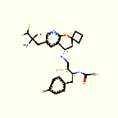 CC(=O)N[C@@H](Cc1ccc(Cl)cc1)[C@H](O)CN[C@H]1CC2(CCC2)Oc2ncc(CC(C)(C)C(F)F)cc21